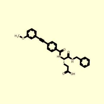 COc1cccc(C#Cc2ccc(C(=O)N[C@@H](CCC(=O)O)C(=O)NCc3ccccc3)cc2)c1